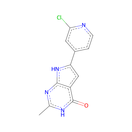 Cc1nc2[nH]c(-c3ccnc(Cl)c3)cc2c(=O)[nH]1